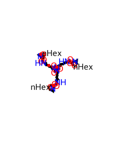 CCCCCCOCC(CN1CC1C)OC(=O)NCCCCCCn1c(=O)n(CCCCCCNC(=O)OC(COCCCCCC)CN2CC2C)c(=O)n(CCCCCCNC(=O)OC(COCCCCCC)CN2CC2C)c1=O